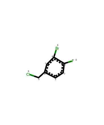 Fc1ccc(CCl)cc1Br